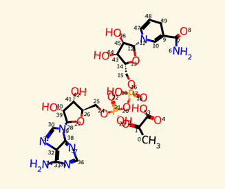 CC(=O)C(=O)O.NC(=O)C1=CN([C@@H]2O[C@H](COP(=O)(O)OP(=O)(O)OC[C@H]3O[C@@H](n4cnc5c(N)ncnc54)[C@H](O)[C@@H]3O)[C@@H](O)[C@H]2O)C=CC1